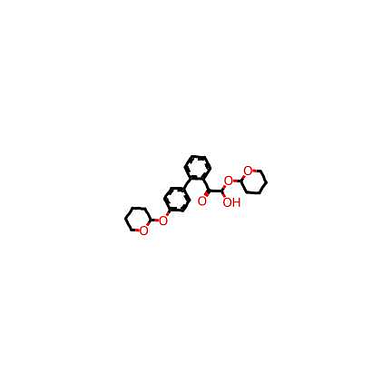 O=C(c1ccccc1-c1ccc(OC2CCCCO2)cc1)C(O)OC1CCCCO1